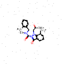 CCN(Cc1ccccc1C)C(=O)n1c(=O)c2cccc(C(=O)O)c2n1CC(=O)OC